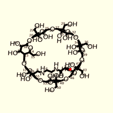 C=CC(=O)NCCNCC1OC2OC3C(CO)OC(OC4C(CO)OC(OC5C(CO)OC(OC6C(CO)OC(OC7C(CO)OC(OC8C(CO)OC(OC1C(O)C2O)C(O)C8O)C(O)C7O)C(O)C6O)C(O)C5O)C(O)C4O)C(O)C3O